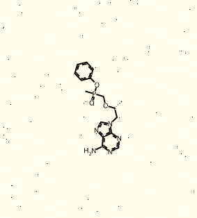 C[C@H](Cn1cnc2c(N)ncnc21)OCP(C)(=O)Oc1ccccc1